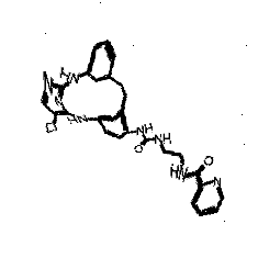 O=C(NCCNC(=O)c1ccccn1)Nc1ccc2cc1CCc1cccc(c1)Nc1ncc(Cl)c(n1)N2